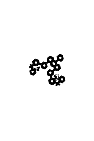 CC1(C)c2ccccc2[Si](C)(C)c2c(-c3cccc(-c4cccc5c(-c6ccccc6)c6cccc(-c7cccc(-c8cccc9c8[Si](C)(C)c8ccccc8C9(C)C)c7)c6cc45)c3)cccc21